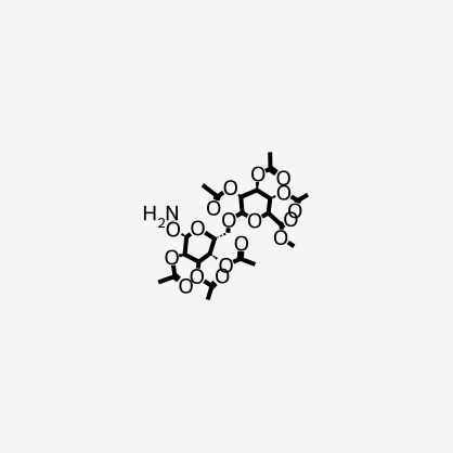 COC(=O)C1OC(OC[C@H]2O[C@@H](ON)[C@H](OC(C)=O)C(OC(C)=O)[C@H]2OC(C)=O)[C@H](OC(C)=O)[C@@H](OC(C)=O)[C@@H]1OC(C)=O